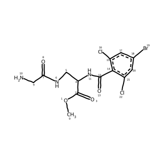 COC(=O)C(CNC(=O)CN)NC(=O)c1c(Cl)cc(Br)cc1Cl